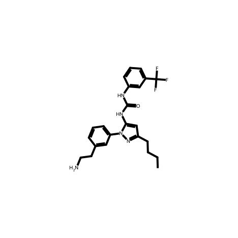 CCCCc1cc(NC(=O)Nc2cccc(C(F)(F)F)c2)n(-c2cccc(CCN)c2)n1